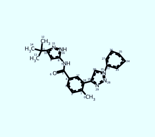 Cc1ccc(C(=O)Nc2cc(C(C)(C)C)n[nH]2)cc1-c1cn(-c2ccccc2)nn1